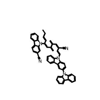 C=C(/C=C(C#N)\C=C\n1c2ccccc2c2cc(-n3c4ccccc4c4ccccc43)ccc21)C(=C)/C=C(\C=C\CC)n1c2ccccc2c2ccc(C#N)cc21